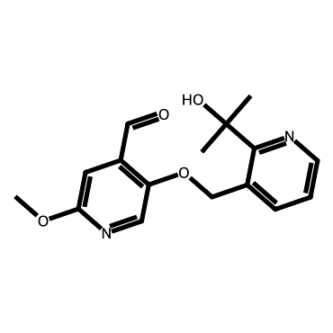 COc1cc(C=O)c(OCc2cccnc2C(C)(C)O)cn1